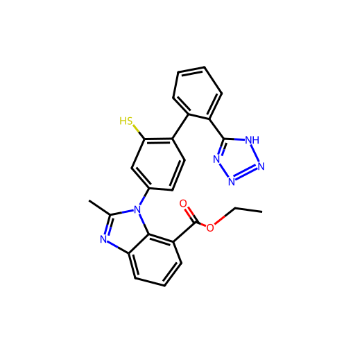 CCOC(=O)c1cccc2nc(C)n(-c3ccc(-c4ccccc4-c4nnn[nH]4)c(S)c3)c12